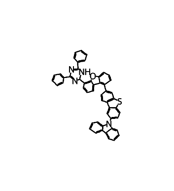 c1ccc(C2=NC(c3cccc4c3oc3cccc(-c5ccc6c(c5)sc5ccc(-n7c8ccccc8c8ccccc87)cc56)c34)NC(c3ccccc3)=N2)cc1